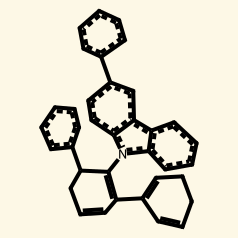 C1=CC(C2=C(n3c4ccccc4c4cc(-c5ccccc5)ccc43)C(c3ccccc3)CC=C2)=CCC1